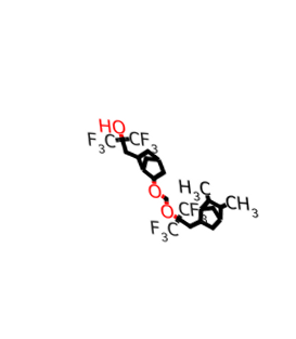 CC1C2CC(CC(OCOC3CC4CC(CC(O)(C(F)(F)F)C(F)(F)F)C3C4)(C(F)(F)F)C(F)(F)F)C(C2)C1C